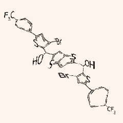 OC(c1cc2sc(C(O)c3sc(-c4ccc(C(F)(F)F)cc4)cc3Br)cc2s1)c1sc(-c2ccc(C(F)(F)F)cc2)cc1Br